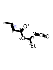 C/C=C/C(=O)OC(CC)N=C=O